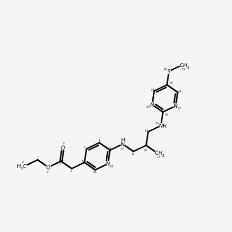 CCOC(=O)Cc1ccc(NCC(C)CNc2ncc(SC)cn2)nc1